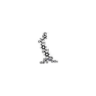 CC(C)c1nc(CN(C)C(=O)NCc2ccc(NC(=O)c3ccc(N/C(=N\C(=O)OC(C)(C)C)NC(=O)OC(C)(C)C)cc3)cc2)cs1